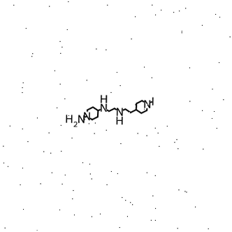 NN1CCC(NCCNCCC2CCN(I)CC2)CC1